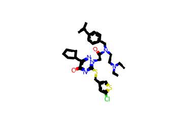 CCN(CC)CCN(Cc1ccc(C(C)C)cc1)C(=O)Cn1nc(C2CCCC2)c(=O)nc1SCc1csc(Cl)c1